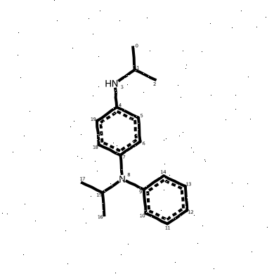 CC(C)Nc1ccc(N(c2ccccc2)C(C)C)cc1